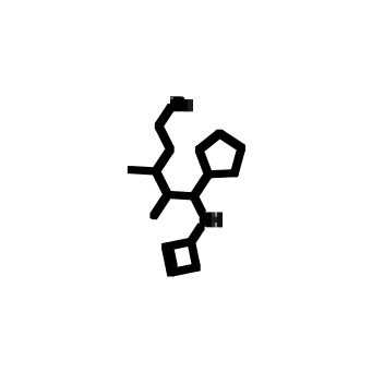 CCC(C)CCC(C)C(C)C(NC1C=CC1)C1CCCC1